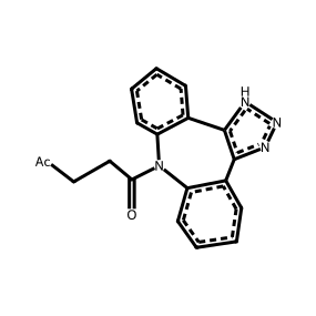 CC(=O)CCC(=O)N1c2ccccc2-c2nn[nH]c2-c2ccccc21